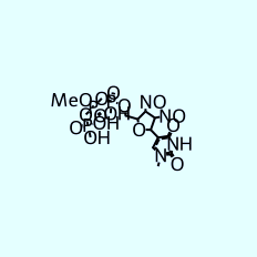 COP(=O)(OP(=O)(O)O)OP(=O)(O)OCC1OC(c2cn(C)c(=O)[nH]c2=O)C(N=O)C1N=O